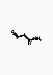 BBCC=O